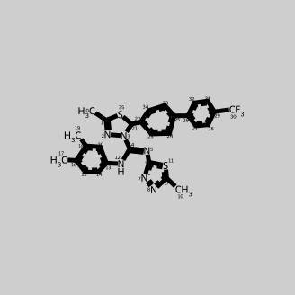 CC1=NN(/C(=N/c2nnc(C)s2)Nc2ccc(C)c(C)c2)C(c2ccc(-c3ccc(C(F)(F)F)cc3)cc2)S1